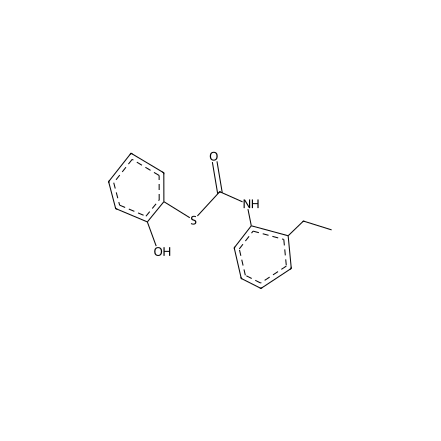 CCc1ccccc1NC(=O)Sc1ccccc1O